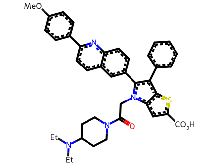 CCN(CC)C1CCN(C(=O)Cn2c(-c3ccc4nc(-c5ccc(OC)cc5)ccc4c3)c(-c3ccccc3)c3sc(C(=O)O)cc32)CC1